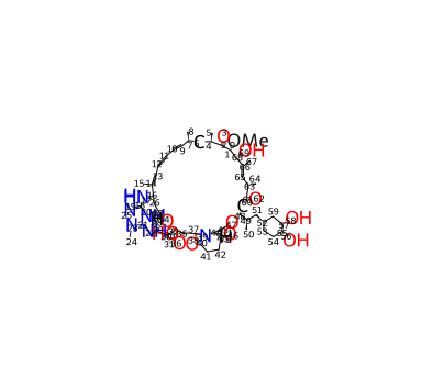 CO[C@H]1C(=O)[C@H](C)C[C@H](C)/C=C/C=C/C=C(\C)C(NC(=N)NC(=N)N(C)C)C[C@@H]2CC[C@@H](C)[C@@](O)(O2)C(=O)C(=O)N2CCCC[C@H]2C(=O)O[C@H]([C@H](C)C[C@@H]2CC[C@@H](O)[C@H](O)C2)CC(=O)[C@H](C)/C=C(\C)[C@H]1O